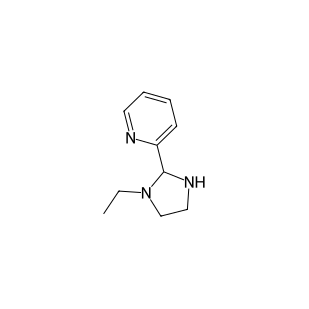 CCN1CCNC1c1ccccn1